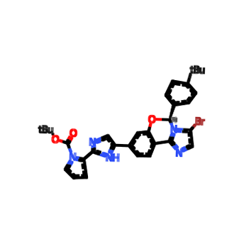 CC(C)(C)OC(=O)n1cccc1-c1ncc(-c2ccc3c(c2)O[C@@H](c2ccc(C(C)(C)C)cc2)n2c(Br)cnc2-3)[nH]1